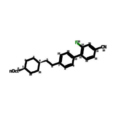 CCCCCCCC[C@H]1CC[C@H](CCc2ccc(-c3ccc(C#N)cc3F)cc2)CC1